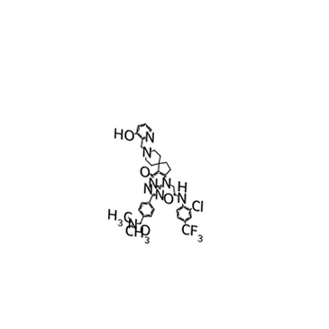 CN(C)C(=O)c1ccc(-c2nc3n(CC(=O)Nc4ccc(C(F)(F)F)cc4Cl)c4c(c(=O)n3n2)C2(CC4)CCN(Cc3ncccc3O)CC2)cc1